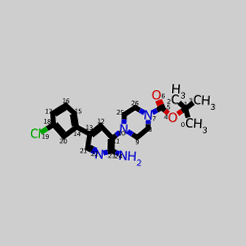 CC(C)(C)OC(=O)N1CCN(c2cc(-c3cccc(Cl)c3)cnc2N)CC1